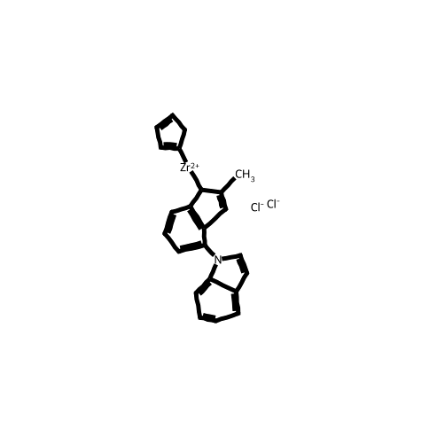 CC1=Cc2c(cccc2-n2ccc3ccccc32)[CH]1[Zr+2][C]1=CC=CC1.[Cl-].[Cl-]